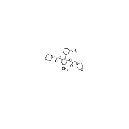 CC1=CC(c2c(OC(=O)CN3CCOCC3)cc(C)cc2OC(=O)CN2CCOCC2)CCC1